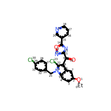 CCOc1ccc2c(c1)c(C(=O)c1noc(-c3cccnc3)n1)c(Cl)n2Cc1ccc(Cl)cc1